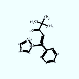 CC(C)(C)C(=O)/C=C(/c1ccccc1)n1cncn1